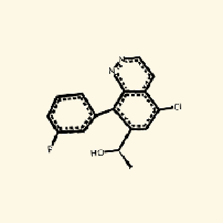 C[C@@H](O)c1cc(Cl)c2ccnnc2c1-c1cccc(F)c1